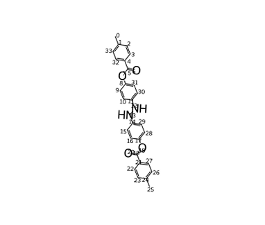 Cc1ccc(C(=O)Oc2ccc(NNc3ccc(OC(=O)c4ccc(C)cc4)cc3)cc2)cc1